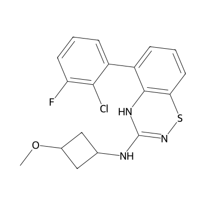 COC1CC(NC2=NSc3cccc(-c4cccc(F)c4Cl)c3N2)C1